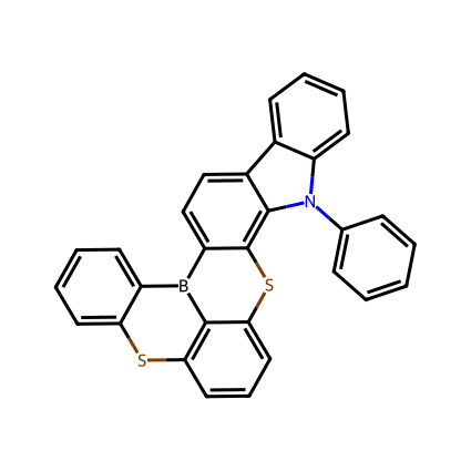 c1ccc(-n2c3ccccc3c3ccc4c(c32)Sc2cccc3c2B4c2ccccc2S3)cc1